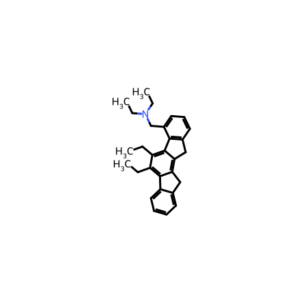 CCc1c(CC)c2c(c3c1-c1ccccc1C3)Cc1cccc(CN(CC)CC)c1-2